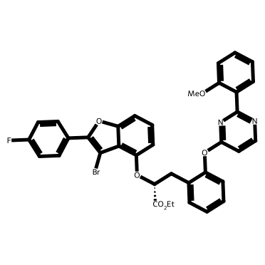 CCOC(=O)[C@@H](Cc1ccccc1Oc1ccnc(-c2ccccc2OC)n1)Oc1cccc2oc(-c3ccc(F)cc3)c(Br)c12